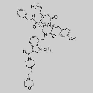 C=CCN1CC(=O)N2[C@@H](Cc3ccc(O)cc3)C(=O)N(Cc3cccc4c(C(=O)N5CCN(CCN6CCOCC6)CC5)cn(C)c34)C[C@@H]2N1C(=O)NCc1ccccc1